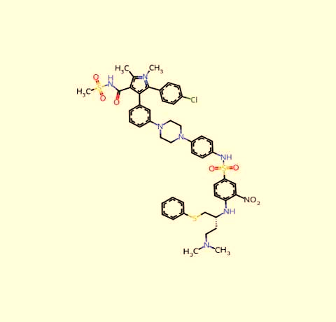 Cc1c(C(=O)NS(C)(=O)=O)c(-c2cccc(N3CCN(c4ccc(NS(=O)(=O)c5ccc(N[C@H](CCN(C)C)CSc6ccccc6)c([N+](=O)[O-])c5)cc4)CC3)c2)c(-c2ccc(Cl)cc2)n1C